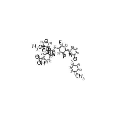 Cc1ccc(COc2cccc(-c3cc(F)c(Cc4nc5ccc(C(=O)O)cc5n4[C@@H]4COCC4(C)C)cc3F)n2)cc1